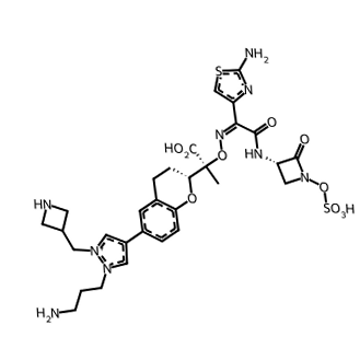 C[C@@](O/N=C(\C(=O)N[C@H]1CN(OS(=O)(=O)O)C1=O)c1csc(N)n1)(C(=O)O)[C@H]1CCc2cc(-c3cn(CCCN)[n+](CC4CNC4)c3)ccc2O1